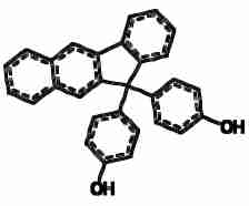 Oc1ccc(C2(c3ccc(O)cc3)c3ccccc3-c3cc4ccccc4cc32)cc1